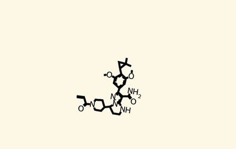 C=CC(=O)N1CCC(C2CCNc3c(C(N)=O)c(-c4cc(OC)c(C5CC5(C)C)c(OC)c4)nn32)CC1